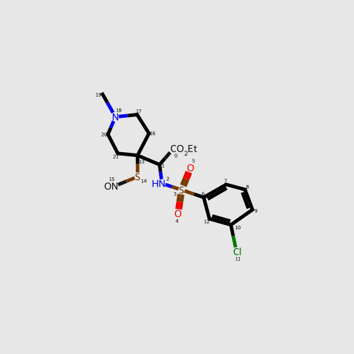 CCOC(=O)C(NS(=O)(=O)c1cccc(Cl)c1)C1(SN=O)CCN(C)CC1